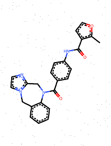 Cc1occc1C(=O)Nc1ccc(C(=O)N2Cc3nccn3Cc3ccccc32)cc1